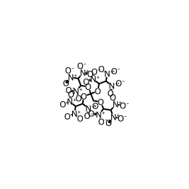 O=[N+]([O-])C(OCC(OC(C([N+](=O)[O-])[N+](=O)[O-])[N+](=O)[O-])(OC(C([N+](=O)[O-])[N+](=O)[O-])[N+](=O)[O-])OC(C([N+](=O)[O-])[N+](=O)[O-])[N+](=O)[O-])C([N+](=O)[O-])[N+](=O)[O-]